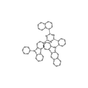 c1ccc(-n2c3ccccc3c3cc(-c4nc(-c5ccccc5-n5c6ccccc6c6cc7ccccc7cc65)nc(-c5cccc6ccccc56)n4)ccc32)cc1